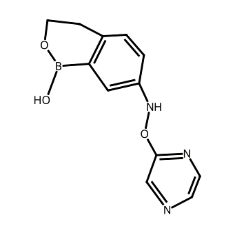 OB1OCCc2ccc(NOc3cnccn3)cc21